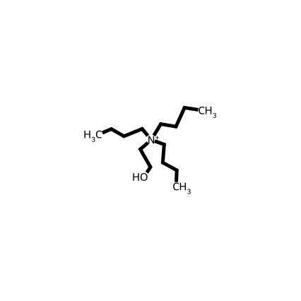 CCCC[N+](CCO)(CCCC)CCCC